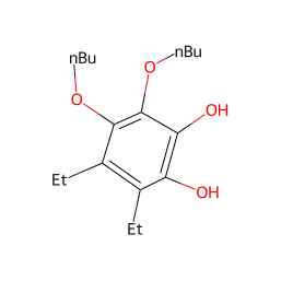 CCCCOc1c(O)c(O)c(CC)c(CC)c1OCCCC